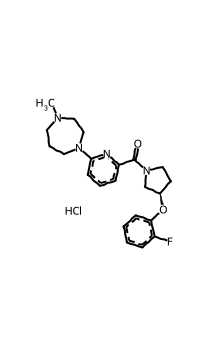 CN1CCCN(c2cccc(C(=O)N3CC[C@@H](Oc4ccccc4F)C3)n2)CC1.Cl